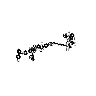 Cc1ncsc1N[C@](C)(NC(=O)[C@@H]1C[C@@H](O)CN1C(=O)C(NCCCCCCCCCN1CCN(C2CCC(CNc3ccc(S(=O)(=O)NC(=O)c4ccc(N5CCN(CC6=C(c7ccc(Cl)cc7)CC(C)(C)CC6)CC5)cc4Oc4cnc5[nH]ccc5c4)cc3[N+](=O)[O-])CC2)CC1)C(C)(C)C)c1ccccc1